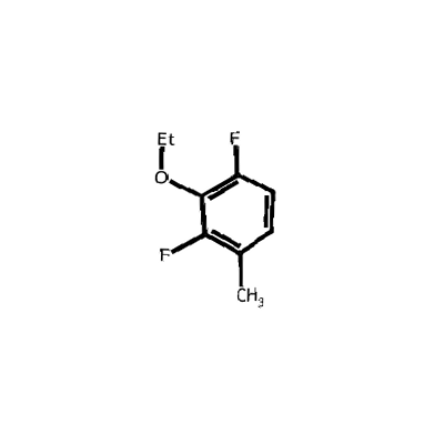 CCOc1c(F)ccc(C)c1F